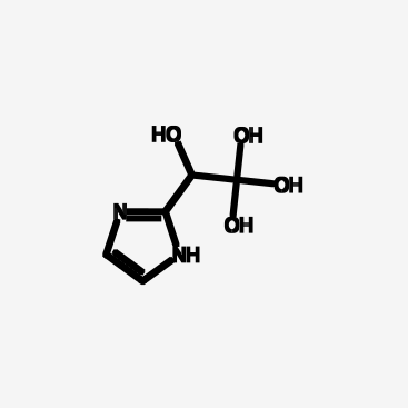 OC(c1ncc[nH]1)C(O)(O)O